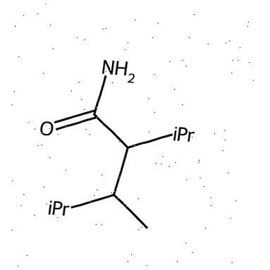 CC(C)C(C)C(C(N)=O)C(C)C